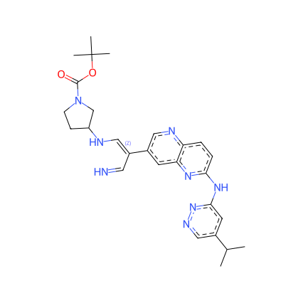 CC(C)c1cnnc(Nc2ccc3ncc(/C(C=N)=C/NC4CCN(C(=O)OC(C)(C)C)C4)cc3n2)c1